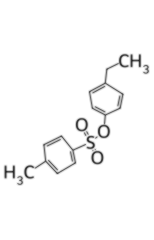 CCc1ccc(OS(=O)(=O)c2ccc(C)cc2)cc1